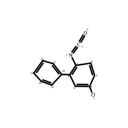 O=C=Nc1ccc(Cl)cc1-c1ccccc1